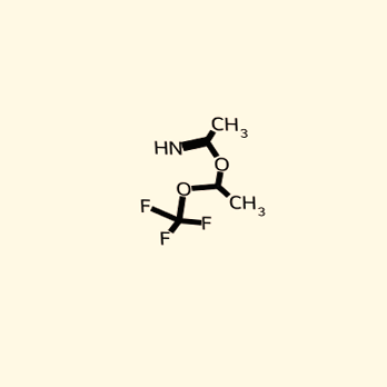 CC(=N)OC(C)OC(F)(F)F